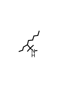 CCCCCC(CCC)C(C)(C)NC